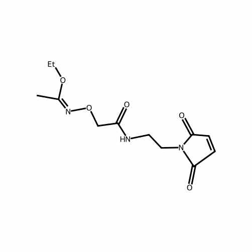 CCO/C(C)=N\OCC(=O)NCCN1C(=O)C=CC1=O